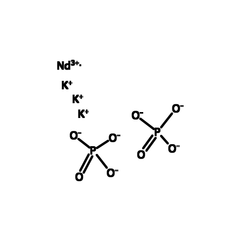 O=P([O-])([O-])[O-].O=P([O-])([O-])[O-].[K+].[K+].[K+].[Nd+3]